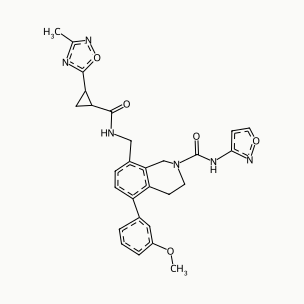 COc1cccc(-c2ccc(CNC(=O)C3CC3c3nc(C)no3)c3c2CCN(C(=O)Nc2ccon2)C3)c1